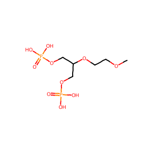 COCCOC(COP(=O)(O)O)COP(=O)(O)O